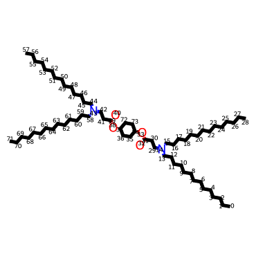 CCCCCCCCCCCCCCN(CCCCCCCCCCCCCC)CCC(=O)O[C@H]1CC[C@H](OC(=O)CCN(CCCCCCCCCCCCCC)CCCCCCCCCCCCCC)CC1